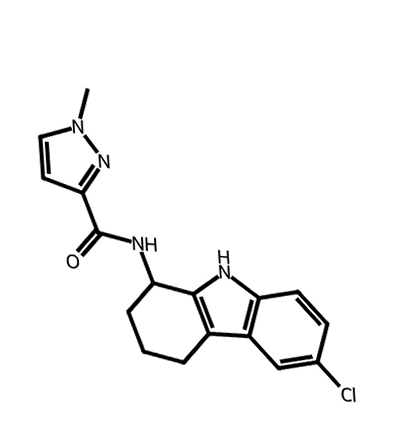 Cn1ccc(C(=O)NC2CCCc3c2[nH]c2ccc(Cl)cc32)n1